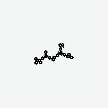 c1ccc(-c2nc(-c3ccc(-c4cc5c6ccccc6c6ccccc6c5c5ccccc45)cc3)cc(-c3ccc(-c4cccc5cc(-c6ccc(-c7nc(-c8ccc(-c9ccc%10c%11c(cccc9%11)-c9ccccc9-%10)cc8)nc(-c8ccc(-c9cccc%10cccnc9%10)cc8)n7)cc6)cnc45)cc3)n2)cc1